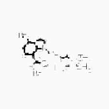 C[Si](C)(C)CCOCn1ccc2c(Br)ccc(C(=O)CBr)c21